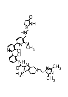 COc1nc(-c2ccnc(-c3cccc(NC(=O)c4nc5c(n4C)CCN(CCn4nc(C)nc4C)C5)c3Cl)c2Cl)ccc1CNC[C@@H]1CCC(=O)N1